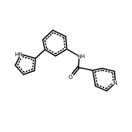 O=C(Nc1cccc(-c2ccc[nH]2)c1)c1ccncc1